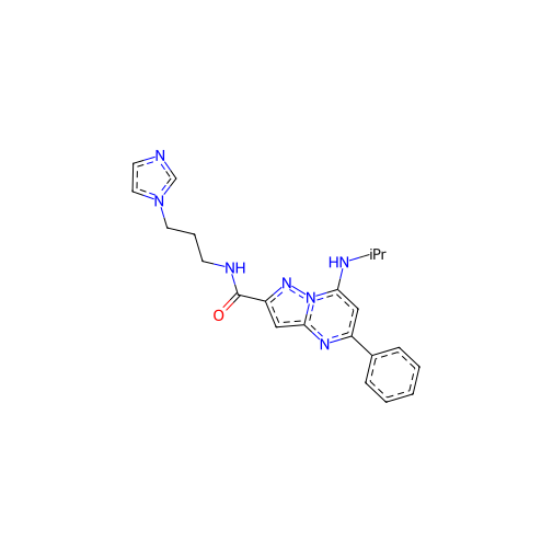 CC(C)Nc1cc(-c2ccccc2)nc2cc(C(=O)NCCCn3ccnc3)nn12